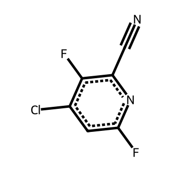 N#Cc1nc(F)cc(Cl)c1F